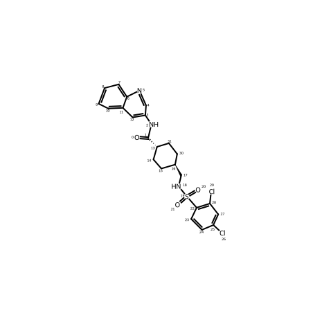 O=C(Nc1cnc2ccccc2c1)[C@H]1CC[C@H](CNS(=O)(=O)c2ccc(Cl)cc2Cl)CC1